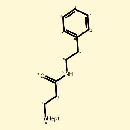 CCCCCCCCCC(=O)NCCc1ccccc1